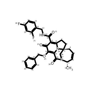 C[C@H]1C=CC[C@]23CCc4c(C(=O)NCc5ccc(F)cc5F)c(=O)c(OCc5ccccc5)c(n42)C(=O)N1C3